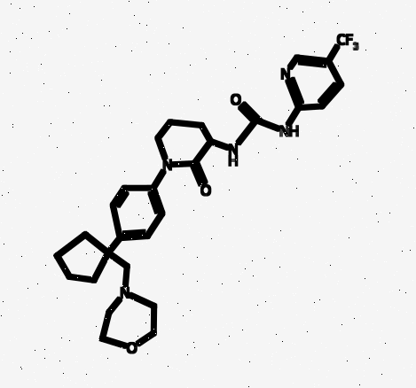 O=C(Nc1ccc(C(F)(F)F)cn1)NC1CCCN(c2ccc(C3(CN4CCOCC4)CCCC3)cc2)C1=O